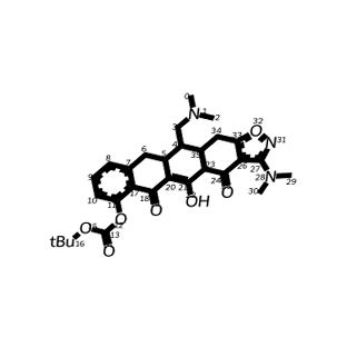 CN(C)CC1C2Cc3cccc(OC(=O)OC(C)(C)C)c3C(=O)C2=C(O)C2C(=O)c3c(N(C)C)noc3CC21